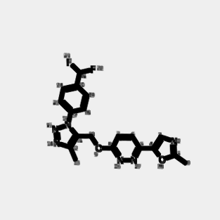 Cc1ncc(-c2ccc(OCc3c(C)nnn3-c3ccc(C(F)F)cc3)nn2)o1